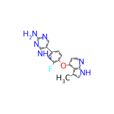 Cc1c[nH]c2nccc(Oc3ccc(-c4cnc(N)nc4N)cc3F)c12